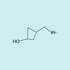 C[C](C)CC1CC(O)C1